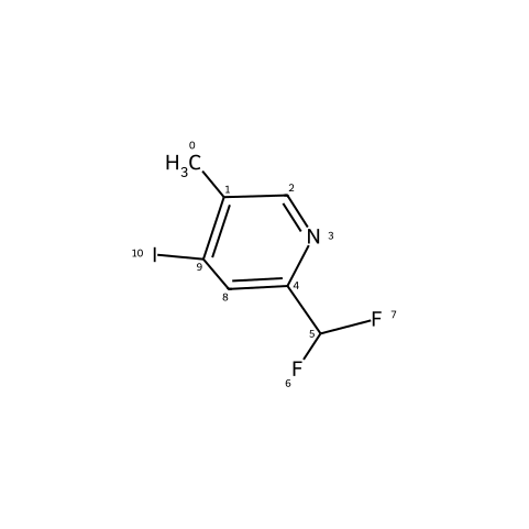 Cc1cnc(C(F)F)cc1I